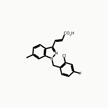 Cc1ccc2c(C=CC(=O)O)nn(Cc3ccc(F)cc3Cl)c2c1